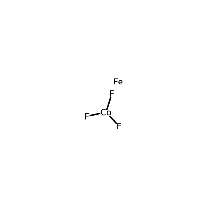 [F][Co]([F])[F].[Fe]